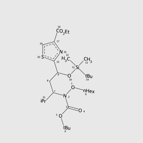 CCCCCCON(C(=O)OC(C)(C)C)C(CC(O[Si](C)(C)C(C)(C)C)c1nc(C(=O)OCC)cs1)C(C)C